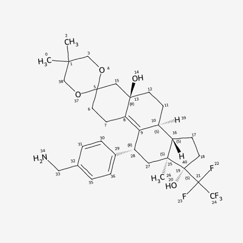 CC1(C)COC2(CCC3=C4[C@@H](CC[C@@]3(O)C2)[C@@H]2CC[C@@](O)(C(F)(F)C(F)(F)F)[C@@]2(C)C[C@@H]4c2ccc(CN)cc2)OC1